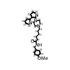 COc1ccc(CNC(=O)CCCCCN2CCN(c3ncccc3-c3ccccn3)CC2)cc1